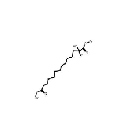 CC(C)OC(=O)CCCCCCCCCCCC(C(=O)OC(C)C)(C(C)C)C(C)C